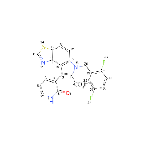 O=C(O)c1c(-c2ccc[nH]c2=O)c2c3ncsc3ccc2n1Cc1cc(F)ccc1F